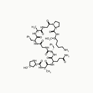 CC(C)C[C@H](NC(=O)CNC(=O)[C@H](CC(C)C)NC(=O)C(CCC(N)=O)NC(=O)[C@H](C)NC(=O)[C@H]1C[C@H](O)CN1)C(=O)N[C@@H](C)C(=O)NCC(=O)N1CCC[C@H]1C(=O)N[C@@H](CCCCN)C(=O)O